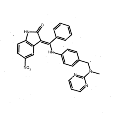 CN(Cc1ccc(NC(=C2C(=O)Nc3ccc([N+](=O)[O-])cc32)c2ccccc2)cc1)c1ncccn1